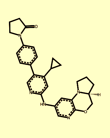 O=C1CCCN1c1ccc(-c2cnc(Nc3cnc4c(c3)N3CCC[C@H]3CO4)cc2C2CC2)cc1